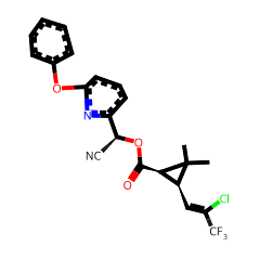 CC1(C)[C@H](C(=O)O[C@@H](C#N)c2cccc(Oc3ccccc3)n2)[C@@H]1/C=C(\Cl)C(F)(F)F